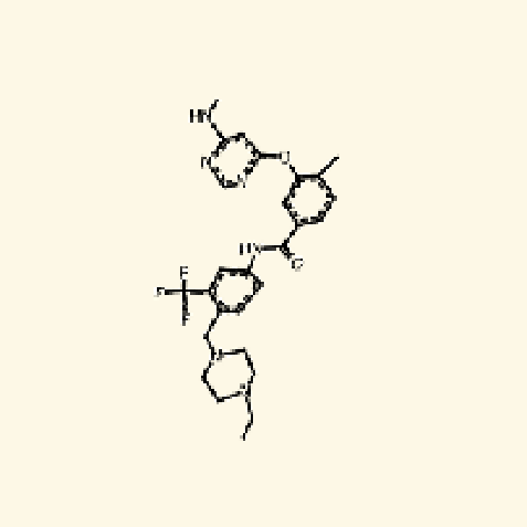 CCN1CCN(Cc2ccc(NC(=O)c3ccc(C)c(Oc4cc(NC)ncn4)c3)cc2C(F)(F)F)CC1